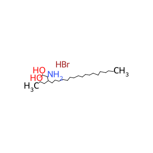 Br.CCCCCCCCCCCCCCCCCCC(CCC)C(N)C(O)O